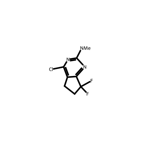 CNc1nc(Cl)c2c(n1)C(F)(F)CC2